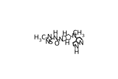 Cc1nsc(NC(=O)N2C[C@H]3C[C@@H](N(C)c4ccnc5[nH]ccc45)C[C@H]3C2)n1